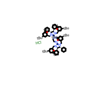 CC(C)(C)c1cc(CN2C(=[N+]3CC[N+](=C4N(Cc5cc(C(C)(C)C)cc(C(C)(C)C)c5)[C@H](c5ccccc5)[C@@H](c5ccccc5)N4Cc4cc(C(C)(C)C)cc(C(C)(C)C)c4)CC3)N(Cc3cc(C(C)(C)C)cc(C(C)(C)C)c3)[C@H](c3ccccc3)[C@H]2c2ccccc2)cc(C(C)(C)C)c1.Cl